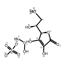 CC(C)(C)OO.O=C1O[C@H]([C@@H](O)CO)C(O)=C1O.O=S(=O)([O-])[O-].[Fe+2]